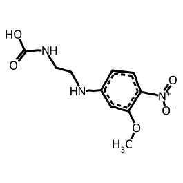 COc1cc(NCCNC(=O)O)ccc1[N+](=O)[O-]